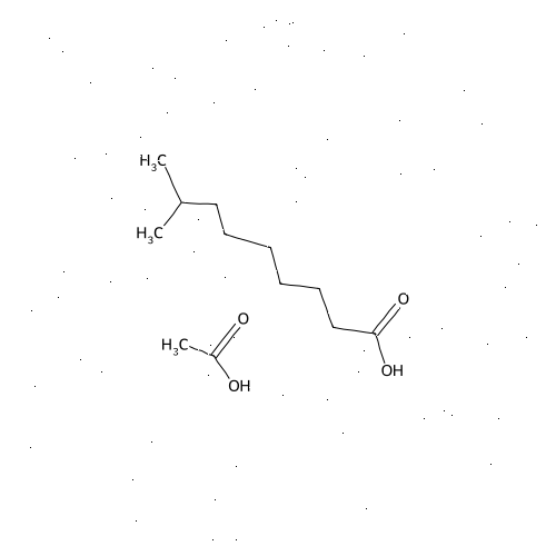 CC(=O)O.CC(C)CCCCCCC(=O)O